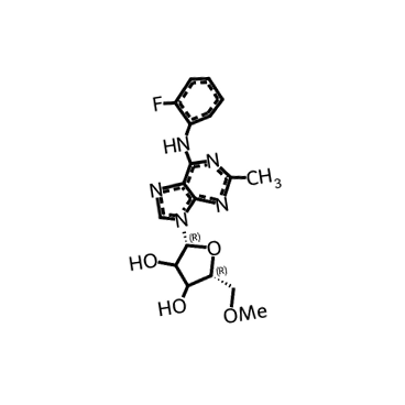 COC[C@H]1O[C@@H](n2cnc3c(Nc4ccccc4F)nc(C)nc32)C(O)C1O